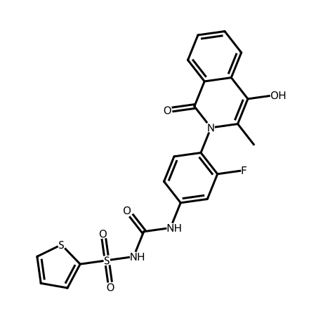 Cc1c(O)c2ccccc2c(=O)n1-c1ccc(NC(=O)NS(=O)(=O)c2cccs2)cc1F